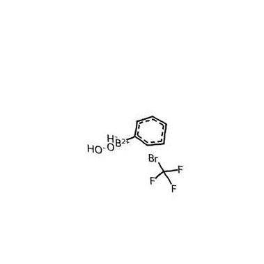 FC(F)(F)Br.[B+2]c1ccccc1.[OH-].[OH-]